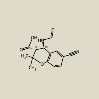 CC1(C)Oc2ccc(C#N)cc2[C@H](NC=O)[C@H]1C(=O)O